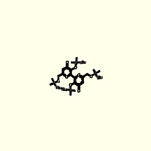 CC(C)(C)[Si](C)(C)OCc1cc(=O)c(O[Si](C)(C)C(C)(C)C)c(-c2oc(CO[Si](C)(C)C(C)(C)C)cc(=O)c2O[Si](C)(C)C(C)(C)C)o1